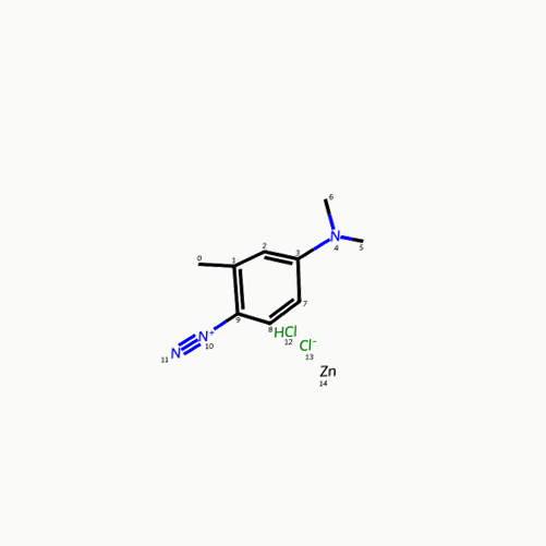 Cc1cc(N(C)C)ccc1[N+]#N.Cl.[Cl-].[Zn]